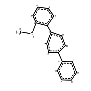 POc1ccccc1-c1ccc(-c2ccccc2)cc1